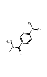 CCN(CC)c1ccc(C(=O)N(C)N)cc1